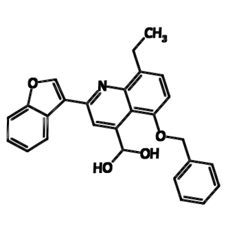 CCc1ccc(OCc2ccccc2)c2c(C(O)O)cc(-c3coc4ccccc34)nc12